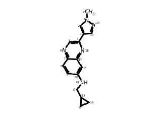 Cn1cc(-c2cnc3ccc(NCC4CC4)cc3n2)cn1